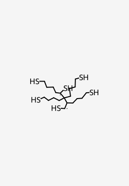 S[CH]C(CCCCS)C(CCCCS)(CCCCS)[C](S)CCCCS